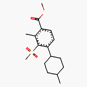 COC(=O)c1ccc(C2CCC(C)CC2)c(S(C)(=O)=O)c1C